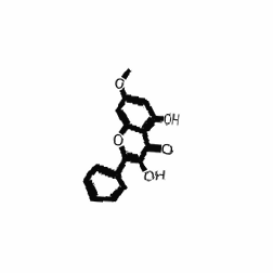 COc1cc(O)c2c(=O)c(O)c(-c3ccccc3)oc2c1